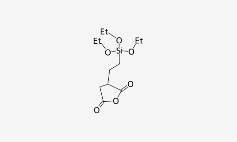 CCO[Si](CCC1CC(=O)OC1=O)(OCC)OCC